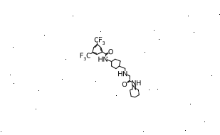 O=C(CNCC1CCC(NC(=O)c2cc(C(F)(F)F)cc(C(F)(F)F)c2)CC1)NN1CCCCC1